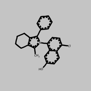 Cc1c2c(c(-c3ccccc3)n1-c1ccc(Cl)c3ccc(O)cc13)CCCC2